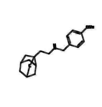 COc1ccc(CNCCC23CC4CC(CC2C4)C3)cc1